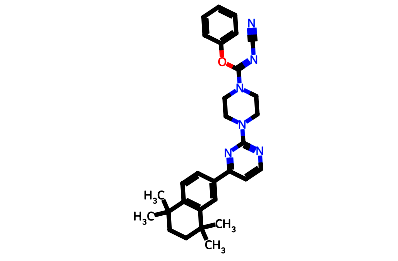 CC1(C)CCC(C)(C)c2cc(-c3ccnc(N4CCN(C(=NC#N)Oc5ccccc5)CC4)n3)ccc21